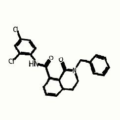 O=C(Nc1ccc(Cl)cc1Cl)C1CC=CC2CCN(Cc3ccccc3)C(=O)C21